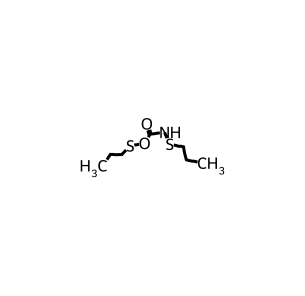 CCCSNC(=O)OSCCC